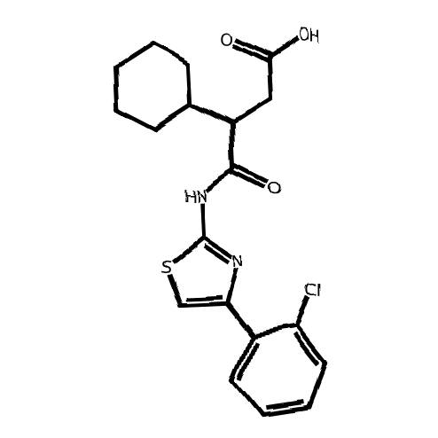 O=C(O)CC(C(=O)Nc1nc(-c2ccccc2Cl)cs1)C1CCCCC1